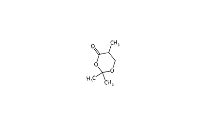 CC1COC(C)(C)OC1=O